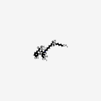 CCCCCCNS(=O)(=O)CCCCCC/C=C/[C@H](C(=O)N[C@@H](Cc1ccc(O)cc1)C(=O)OC)[C@@](O)(CCC)C(=O)O